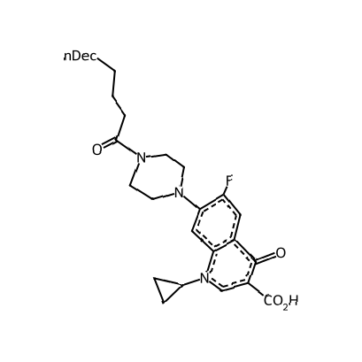 CCCCCCCCCCCCCC(=O)N1CCN(c2cc3c(cc2F)c(=O)c(C(=O)O)cn3C2CC2)CC1